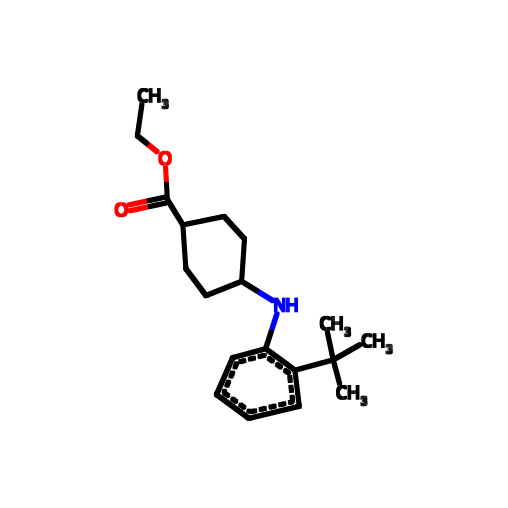 CCOC(=O)C1CCC(Nc2ccccc2C(C)(C)C)CC1